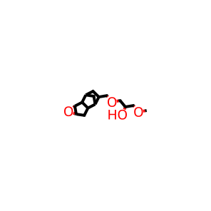 COCC(O)COCC1CC2CC1C1CC3OC3C21